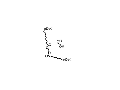 CCCCCCCCCCCCCCCCCC(=O)OCCOC(=O)CCCCCCCCCCCCCCCCC.OCCO